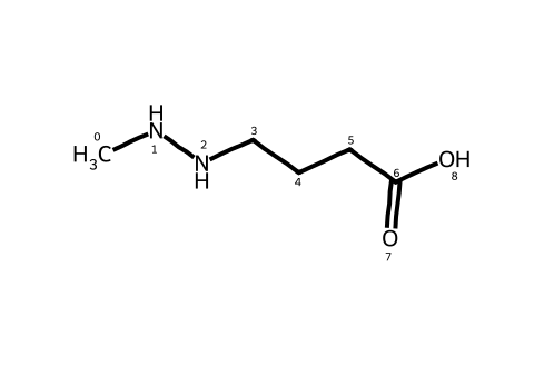 CNNCCCC(=O)O